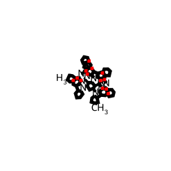 Cc1ccc2c(c1)c1ccccc1n2-c1cc(-n2c3ccccc3c3cc(C)ccc32)c(-c2nc(-c3ccccc3)nc(-c3ccccc3)n2)c(-n2c3ccccc3c3cc(-c4ccccc4)ccc32)c1-c1nc(-c2ccccc2)nc(-c2ccccc2)n1